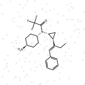 CCC(=Cc1ccccc1)[C@@H]1C[C@H]1N(C(=O)C(F)(F)F)[C@H]1CC[C@H](N)CC1